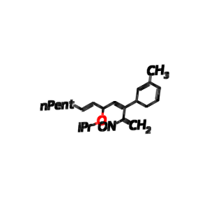 C=C(N=O)C(=CC(/C=C/CCCCC)OC(C)C)C1C=C(C)C=CC1